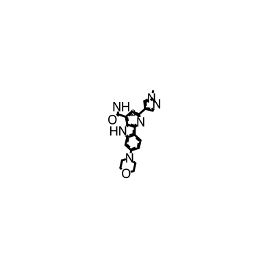 Cn1cc(-c2cc(C(N)=O)c3[nH]c4cc(N5CCOCC5)ccc4c3n2)cn1